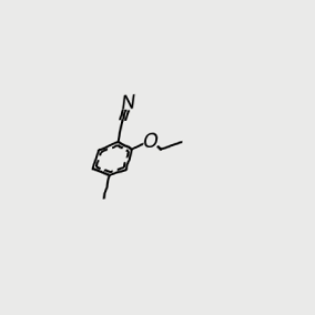 CCOc1cc(C)ccc1C#N